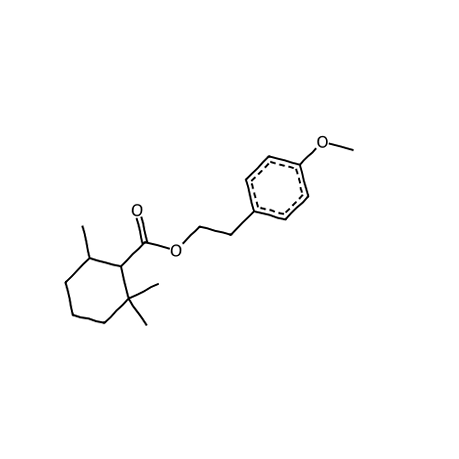 COc1ccc(CCOC(=O)C2C(C)CCCC2(C)C)cc1